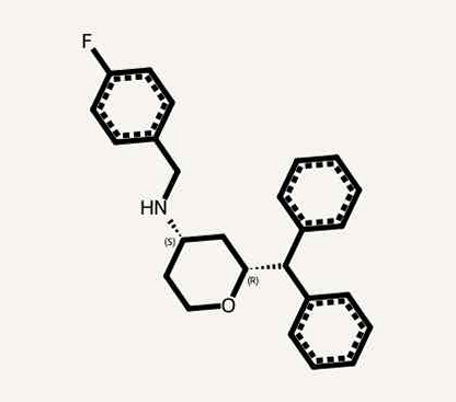 Fc1ccc(CN[C@H]2CCO[C@@H](C(c3ccccc3)c3ccccc3)C2)cc1